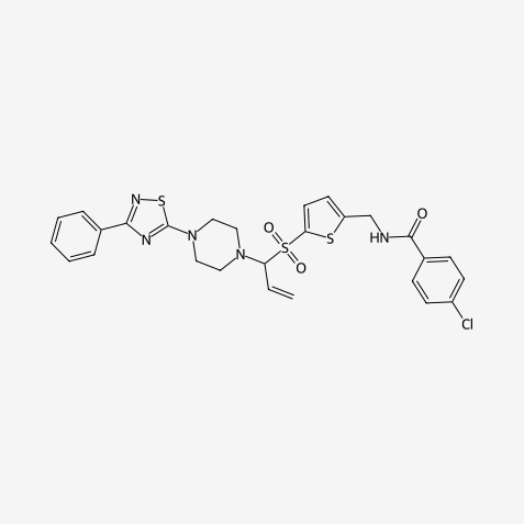 C=CC(N1CCN(c2nc(-c3ccccc3)ns2)CC1)S(=O)(=O)c1ccc(CNC(=O)c2ccc(Cl)cc2)s1